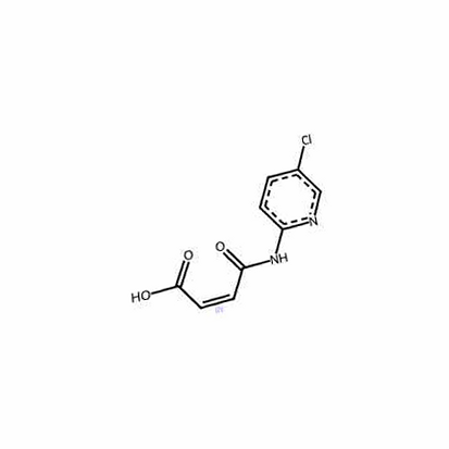 O=C(O)/C=C\C(=O)Nc1ccc(Cl)cn1